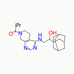 CC(C)C(=O)N1CCc2c(ncnc2NCC(O)C23CC4CC(CC(C4)C2)C3)C1